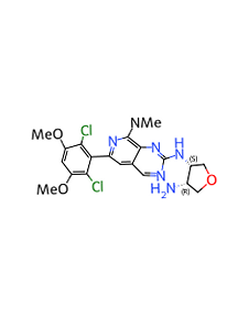 CNc1nc(-c2c(Cl)c(OC)cc(OC)c2Cl)cc2cnc(N[C@@H]3COC[C@@H]3N)nc12